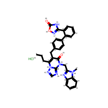 CCCc1c(Cc2ccc(-c3ccccc3-c3noc(=O)[nH]3)cc2)c(=O)n(Cc2nc3ccccc3n2C)c2ncnn12.Cl